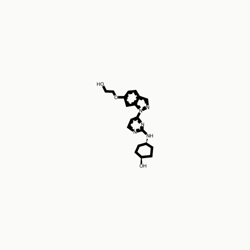 OCCOc1ccc2cnn(-c3ccnc(N[C@H]4CC[C@H](O)CC4)n3)c2c1